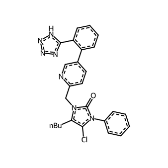 CCCCc1c(Cl)n(-c2ccccc2)c(=O)n1Cc1ccc(-c2ccccc2-c2nnn[nH]2)cn1